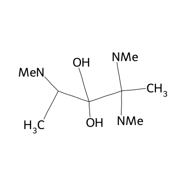 CNC(C)C(O)(O)C(C)(NC)NC